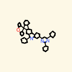 c1ccc(-c2cc(-c3ccc4c(c3)nc(-c3ccccc3)c3cc5c(cc34)-c3ccccc3C53c4ccccc4Oc4ccccc43)nc(-c3ccccc3)n2)cc1